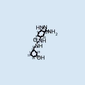 Nc1n[nH]c2ccc(NC(=O)NCc3cccc(O)c3)cc12